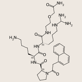 NCCCC[C@H](NC(=O)[C@@H]1CCCN1C(=O)Cc1cccc2ccccc12)C(=O)N[C@@H](CCCCNC(N)N)C(=O)NCCOCC(N)=O